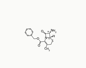 CC1=C(C(=O)OCc2ccccc2)N2C(=O)[C@@H](N)[C@@H]2SC1